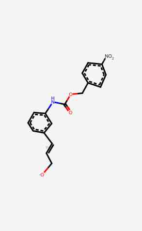 [O]C/C=C/c1cccc(NC(=O)OCc2ccc([N+](=O)[O-])cc2)c1